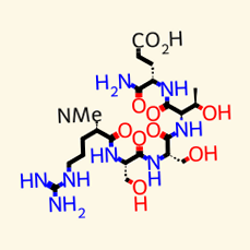 CN[C@@H](CCCNC(=N)N)C(=O)N[C@@H](CO)C(=O)N[C@@H](CO)C(=O)N[C@H](C(=O)N[C@@H](CCC(=O)O)C(N)=O)[C@@H](C)O